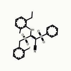 CCc1cccc(C)c1N/C(=C(/C#N)S(=O)(=O)c1ccccc1)S(=O)(=O)Cc1ccccc1F